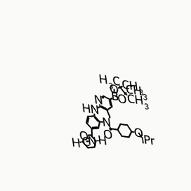 CC(C)OC1CCC(C(=O)N2Cc3cc(B4OC(C)(C)C(C)(C)O4)cnc3Nc3ccc(N4C[C@@H]5CC[C@H]4CO5)cc32)CC1